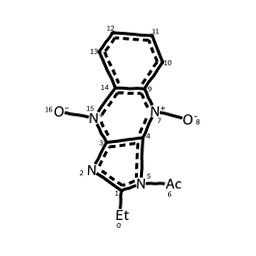 CCc1nc2c(n1C(C)=O)[n+]([O-])c1ccccc1[n+]2[O-]